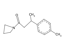 Cc1ccc(C(C)CC(=O)N2CCC2)cc1